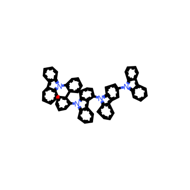 c1ccc(-n2c3ccccc3c3ccccc32)c(-c2ccccc2-n2c3ccccc3c3c(-n4c5ccccc5c5cc(-n6c7ccccc7c7ccccc76)ccc54)cccc32)c1